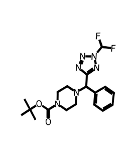 CC(C)(C)OC(=O)N1CCN(C(c2ccccc2)c2nnn(C(F)F)n2)CC1